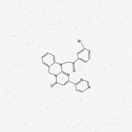 O=C(CN1c2ccccc2Cn2c1nc(-c1ccncn1)cc2=O)c1cccc(Br)c1